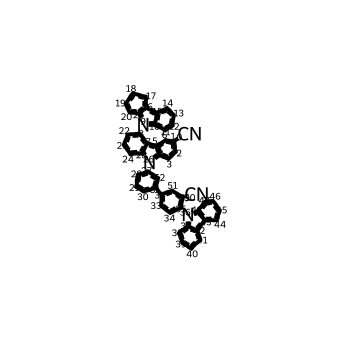 N#Cc1ccc2c(c1)c1c(-n3c4ccccc4c4ccccc43)cccc1n2-c1cccc(-c2ccc(-n3c4ccccc4c4ccccc43)c(C#N)c2)c1